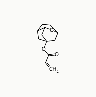 C=CC(=O)OC12CC3CCC(C1)C(C3)C2